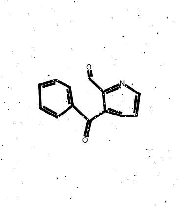 O=Cc1ncccc1C(=O)c1ccccc1